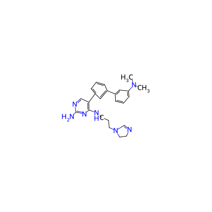 CN(C)c1cccc(-c2cccc(-c3cnc(N)nc3NCCCN3C=NCC3)c2)c1